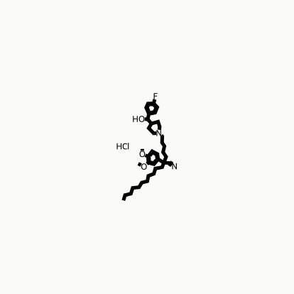 CCCCCCCCCCCC(C#N)(CCCCCN1CCC(C(O)c2ccc(F)cc2)CC1)c1ccc(OC)c(OC)c1.Cl